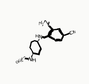 N#Cc1ccc(N[C@H]2CC[C@H](NC=O)CC2)c(N)c1